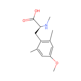 CN[C@@H](Cc1c(C)cc(OC)cc1C)C(=O)O